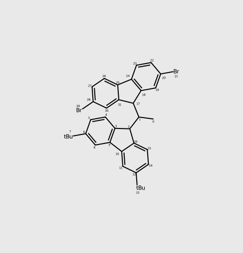 CC(C1c2ccc(C(C)(C)C)cc2-c2cc(C(C)(C)C)ccc21)C1c2cc(Br)ccc2-c2ccc(Br)cc21